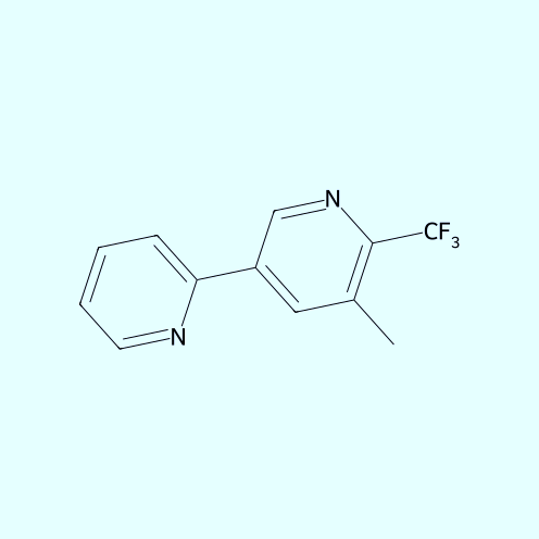 Cc1cc(-c2ccccn2)cnc1C(F)(F)F